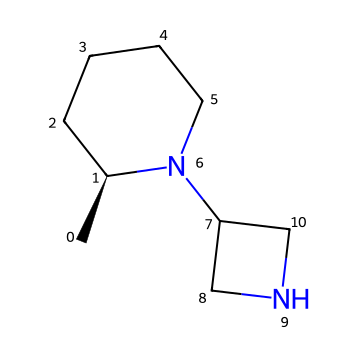 C[C@H]1CCCCN1C1CNC1